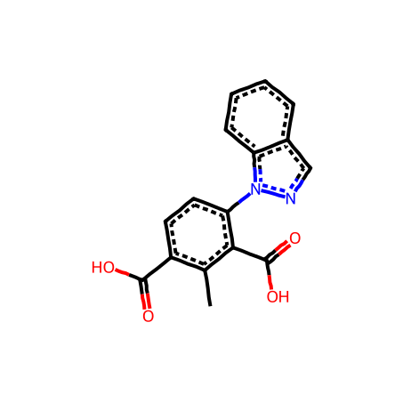 Cc1c(C(=O)O)ccc(-n2ncc3ccccc32)c1C(=O)O